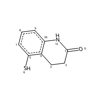 O=C1CCc2c(S)cccc2N1